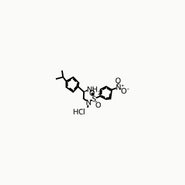 CC(C)c1ccc([C@@H](N)CN(C)S(=O)(=O)c2ccc([N+](=O)[O-])cc2)cc1.Cl